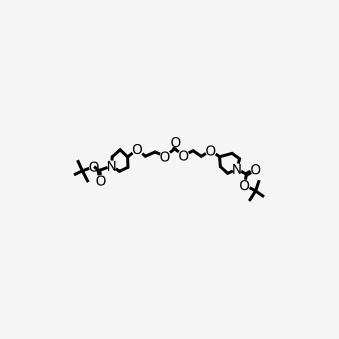 CC(C)(C)OC(=O)N1CCC(OCCOC(=O)OCCOC2CCN(C(=O)OC(C)(C)C)CC2)CC1